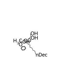 CC(O)Oc1ccccc1.CCCCCCCCCCCCCCCCCC(=O)OCC(O)CO